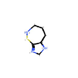 C1CNSC2=NCNC2C1